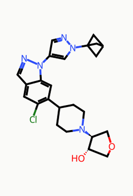 O[C@H]1COC[C@@H]1N1CCC(c2cc3c(cnn3-c3cnn(C45CC(C4)C5)c3)cc2Cl)CC1